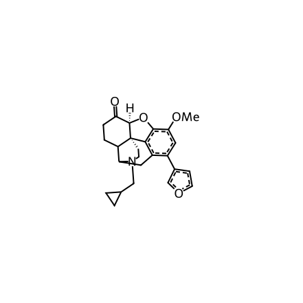 COc1cc(-c2ccoc2)c2c3c1O[C@@H]1C(=O)CCC4C(C2)N(CC2CC2)CC[C@]341